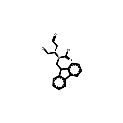 O=CC[C@H](CCl)N(CC1c2ccccc2-c2ccccc21)C(=O)O